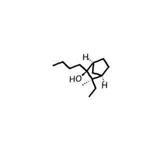 CCCC[C@]1(O)[C@H]2CC[C@H](C2)[C@@]1(C)CC